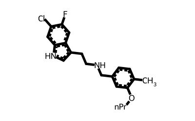 CCCOc1cc(CNCCc2c[nH]c3cc(Cl)c(F)cc23)ccc1C